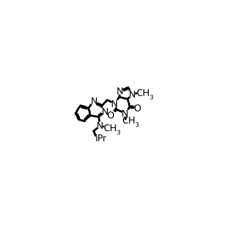 CC(C)CN(C)c1nc(CN2C(=O)N(C)C(=O)C3C2N=CN3C)nc2ccccc12